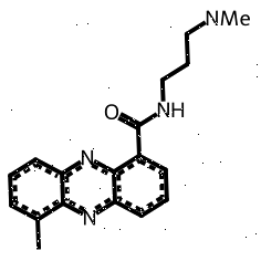 CNCCCNC(=O)c1cccc2nc3c(C)cccc3nc12